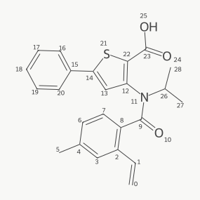 C=Cc1cc(C)ccc1C(=O)N(c1cc(-c2ccccc2)sc1C(=O)O)C(C)C